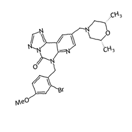 COc1ccc(Cn2c(=O)n3ncnc3c3cc(CN4C[C@@H](C)O[C@@H](C)C4)cnc32)c(Br)c1